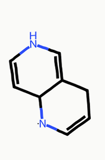 C1=C[N]C2C=CNC=C2C1